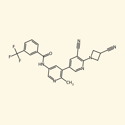 Cc1ncc(NC(=O)c2cccc(C(F)(F)F)c2)cc1-c1cnc(N2CC(C#N)C2)c(C#N)c1